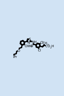 COc1c(CCOCCCC(C)C)cccc1-c1csc(NC(=O)c2cc(Cl)c(/C=C(\C)C(=O)O)c(Cl)c2)n1